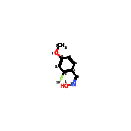 COc1ccc(/C=N\O)c(F)c1